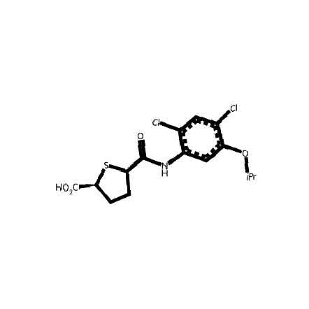 CC(C)Oc1cc(NC(=O)C2CC[C@@H](C(=O)O)S2)c(Cl)cc1Cl